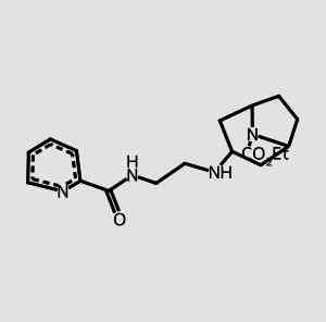 CCOC(=O)N1C2CCC1CC(NCCNC(=O)c1ccccn1)C2